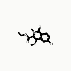 CCOC(=O)c1c(OC)c2cc(Cl)ccc2c(=O)n1C